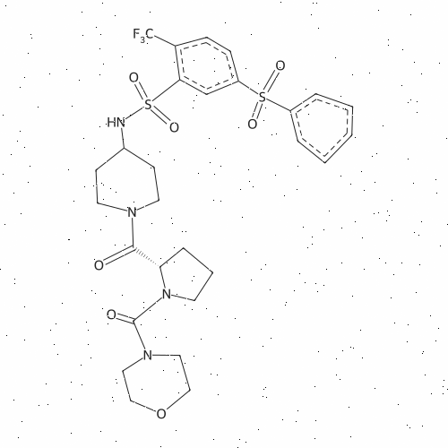 O=C([C@@H]1CCCN1C(=O)N1CCOCC1)N1CCC(NS(=O)(=O)c2cc(S(=O)(=O)c3ccccc3)ccc2C(F)(F)F)CC1